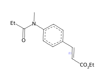 CCOC(=O)/C=C/c1ccc(N(C)C(=O)CC)cc1